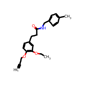 C#CCOc1ccc(CCC(=O)NCc2ccc(C)cc2)cc1OCC